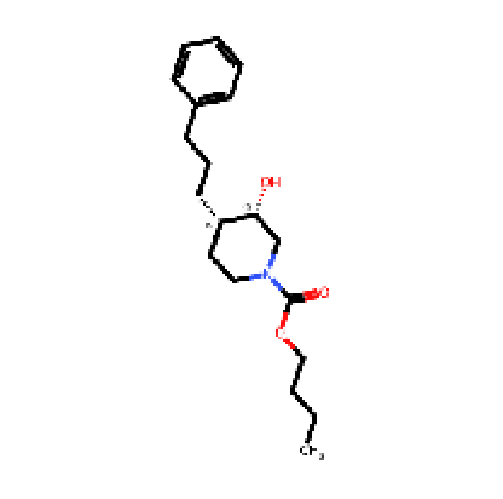 CCCCOC(=O)N1CC[C@H](CCCc2ccccc2)[C@H](O)C1